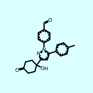 Cc1ccc(-c2cc(C3(O)CCC(=O)CC3)nn2-c2ccc(C=O)cc2)cc1